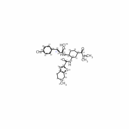 CN1CCc2nc(C(=O)NC3CC(C(=O)N(C)C)CCC3NC(=O)/C=C/c3ccc(Cl)cc3)sc2C1.Cl